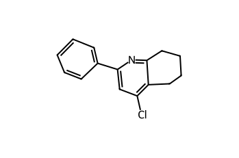 Clc1cc(-c2ccccc2)nc2c1CCCC2